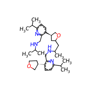 CC(C)NCc1nc(C(C)C)ccc1[C@H]1COC(CC(C)NCc2nc(C(C)C)ccc2[C@H]2CCOC2)C1